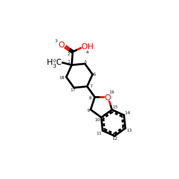 CC1(C(=O)O)CCC(C2Cc3ccccc3O2)CC1